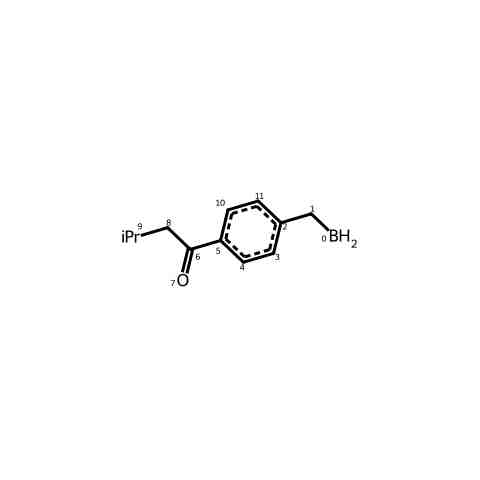 BCc1ccc(C(=O)CC(C)C)cc1